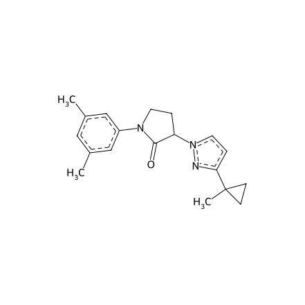 Cc1cc(C)cc(N2CCC(n3ccc(C4(C)CC4)n3)C2=O)c1